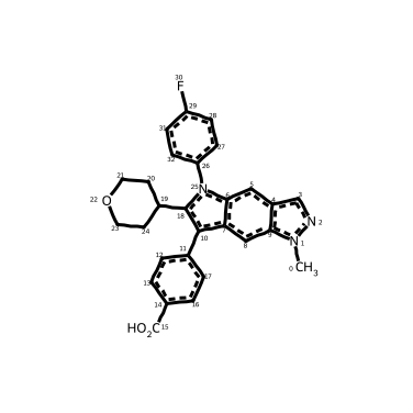 Cn1ncc2cc3c(cc21)c(-c1ccc(C(=O)O)cc1)c(C1CCOCC1)n3-c1ccc(F)cc1